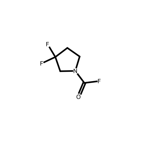 O=C(F)N1CCC(F)(F)C1